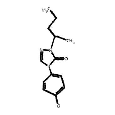 CCCC(C)n1ncn(-c2ccc(Cl)cc2)c1=O